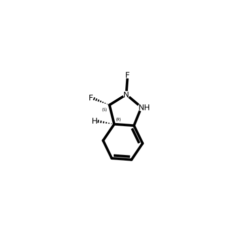 F[C@H]1[C@@H]2CC=CC=C2NN1F